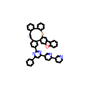 C1=C\c2ccc(-c3nc(-c4ccccc4)cc(-c4ccc(-c5cccnc5)nc4)n3)cc2-c2cc3oc4ccccc4c3cc2Sc2ccccc2-c2ccccc2/1